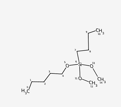 CCCCCO[Si](CCCC)(OC)OC